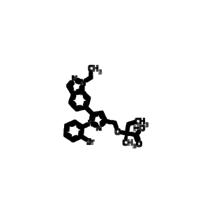 CCn1ncc2ccc(-c3cc(CO[C@](C)(CC)C(=O)O)nn3-c3ccccc3Br)cc21